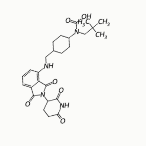 CC(C)(C)CN(C(=O)O)C1CCC(CNc2cccc3c2C(=O)N(C2CCC(=O)NC2=O)C3=O)CC1